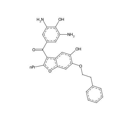 CCCc1oc2cc(OCCc3ccccc3)c(O)cc2c1C(=O)c1cc(N)c(O)c(N)c1